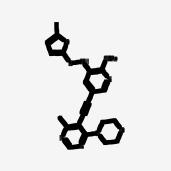 COc1ncc(C#Cc2c(C)ncnc2N2CCOCC2)cc1NSc1ccc(C)o1